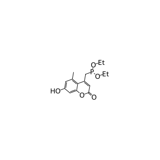 CCOP(Cc1cc(=O)oc2cc(O)cc(C)c12)OCC